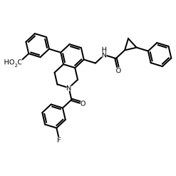 O=C(O)c1cccc(-c2ccc(CNC(=O)C3CC3c3ccccc3)c3c2CCN(C(=O)c2cccc(F)c2)C3)c1